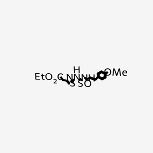 CCOC(=O)Cc1csc(NC(=S)NC(=O)C=Cc2ccc(OC)cc2)n1